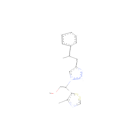 Cc1ncsc1C(COC=O)n1cc(CC(C)c2ccccc2)nn1